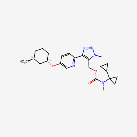 CN(C(=O)OCc1c(-c2ccc(O[C@H]3CCC[C@H](C(=O)O)C3)cn2)nnn1C)C1(C2CC2)CC1